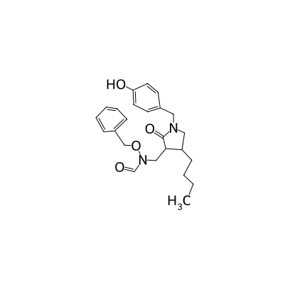 CCCCC1CN(Cc2ccc(O)cc2)C(=O)C1CN(C=O)OCc1ccccc1